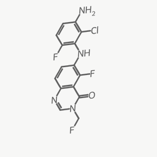 Nc1ccc(F)c(Nc2ccc3ncn(CF)c(=O)c3c2F)c1Cl